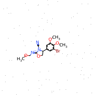 COC/N=C1\OCC(c2cc(Br)c(OC)c(OC)c2)N1C#N